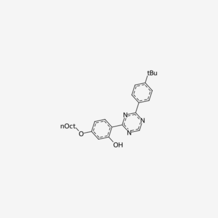 CCCCCCCCOc1ccc(-c2ncnc(-c3ccc(C(C)(C)C)cc3)n2)c(O)c1